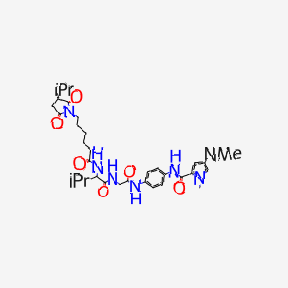 CNc1cc(C(=O)Nc2ccc(NC(=O)CNC(=O)C(NC(=O)CCCCCN3C(=O)CC(C(C)C)C3=O)C(C)C)cc2)n(C)c1